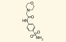 NS(=O)(=O)c1ccc(NC(=O)CN2CCOCC2)cc1